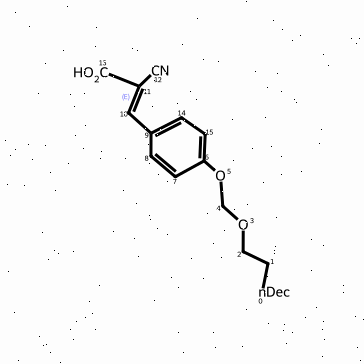 CCCCCCCCCCCCOCOc1ccc(/C=C(\C#N)C(=O)O)cc1